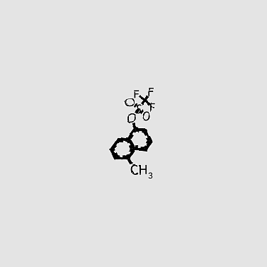 Cc1cccc2c(OS(=O)(=O)C(F)(F)F)cccc12